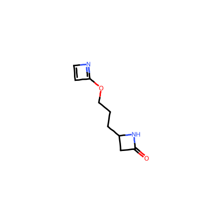 O=C1CC(CCCOC2=NC=C2)N1